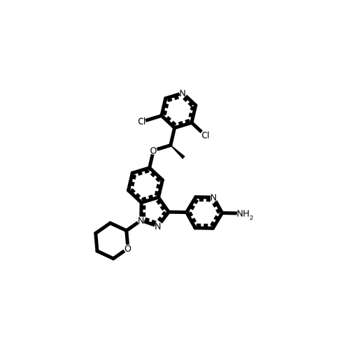 C[C@@H](Oc1ccc2c(c1)c(-c1ccc(N)nc1)nn2C1CCCCO1)c1c(Cl)cncc1Cl